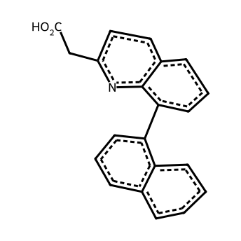 O=C(O)Cc1ccc2cccc(-c3cccc4ccccc34)c2n1